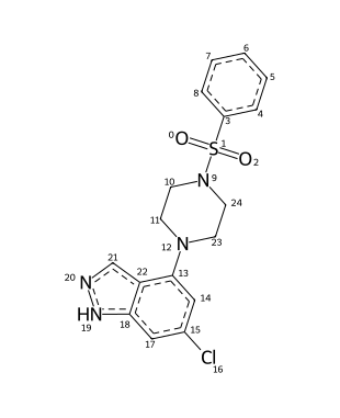 O=S(=O)(c1ccccc1)N1CCN(c2cc(Cl)cc3[nH]ncc23)CC1